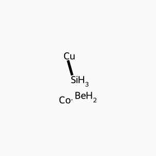 [BeH2].[Co].[SiH3][Cu]